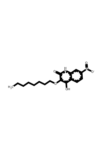 CCCCCCCCOc1c(O)c2ccc([N+](=O)[O-])cc2[nH]c1=O